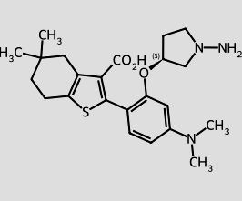 CN(C)c1ccc(-c2sc3c(c2C(=O)O)CC(C)(C)CC3)c(O[C@H]2CCN(N)C2)c1